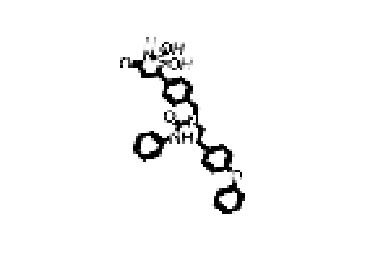 O=C1CC(c2ccc(CN(CCc3ccc(Oc4ccccc4)cc3)C(=O)Nc3ccccc3)cc2)S(O)(O)N1